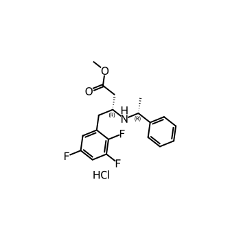 COC(=O)C[C@@H](Cc1cc(F)cc(F)c1F)N[C@H](C)c1ccccc1.Cl